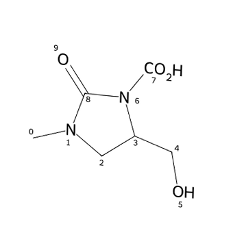 CN1CC(CO)N(C(=O)O)C1=O